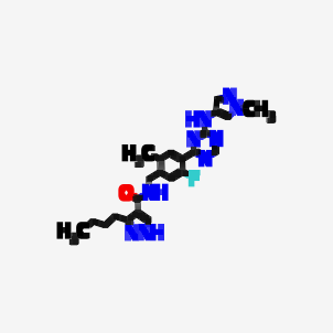 CCCCc1n[nH]cc1C(=O)NCc1cc(F)c(-c2ncnc(Nc3cnn(C)c3)n2)cc1C